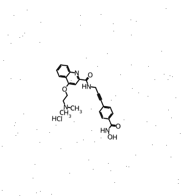 CN(C)CCOc1cc(C(=O)NCC#Cc2ccc(C(=O)NO)cc2)nc2ccccc12.Cl